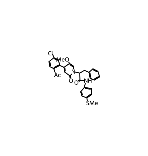 COc1cn(C(Cc2ccccc2)C(=O)Nc2ccc(SC)cc2)c(=O)cc1-c1cc(Cl)ccc1C(C)=O